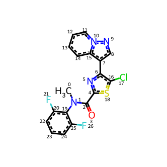 CN(C(=O)c1nc(-c2cnn3ccccc23)c(Cl)s1)c1c(F)cccc1F